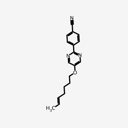 CC=CCCCCOc1cnc(-c2ccc(C#N)cc2)nc1